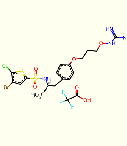 N=C(N)NOCCCOc1ccc(C[C@H](NS(=O)(=O)c2cc(Br)c(Cl)s2)C(=O)O)cc1.O=C(O)C(F)(F)F